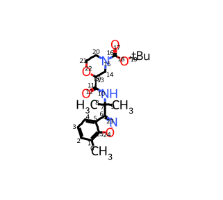 Cc1cccc2c(C(C)(C)NC(=O)[C@@H]3CN(C(=O)OC(C)(C)C)CCO3)noc12